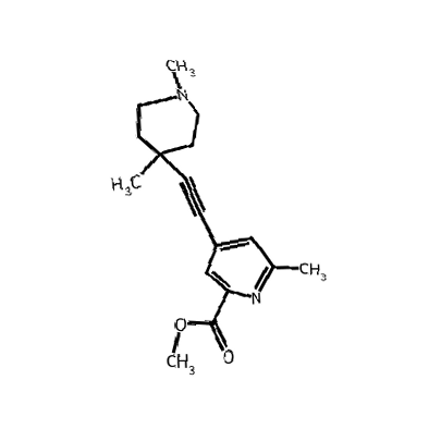 COC(=O)c1cc(C#CC2(C)CCN(C)CC2)cc(C)n1